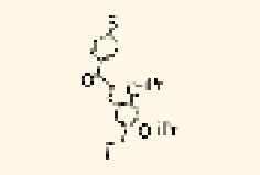 C=CCc1cc(C=CC(=O)C2=CCC(=S)C=C2)c(OC(C)C)cc1OC(C)C